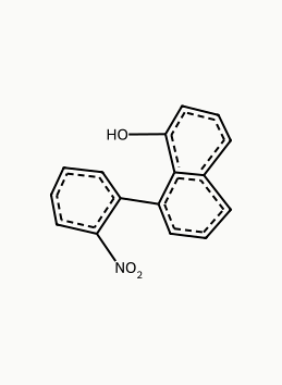 O=[N+]([O-])c1ccccc1-c1cccc2cccc(O)c12